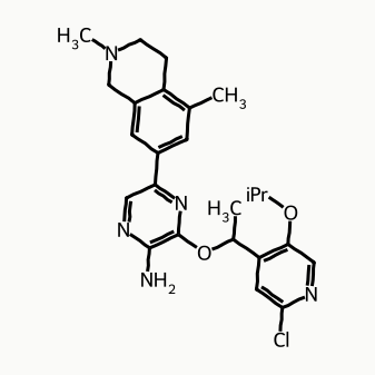 Cc1cc(-c2cnc(N)c(OC(C)c3cc(Cl)ncc3OC(C)C)n2)cc2c1CCN(C)C2